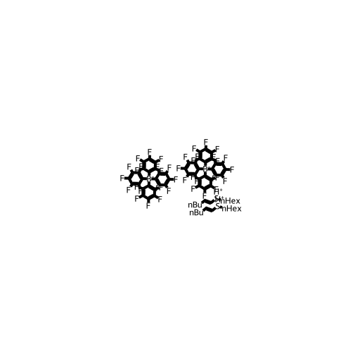 CCCCC=C[SH+]CCCCCC.CCCCC=C[SH+]CCCCCC.Fc1c(F)c(F)c([B-](c2c(F)c(F)c(F)c(F)c2F)(c2c(F)c(F)c(F)c(F)c2F)c2c(F)c(F)c(F)c(F)c2F)c(F)c1F.Fc1c(F)c(F)c([B-](c2c(F)c(F)c(F)c(F)c2F)(c2c(F)c(F)c(F)c(F)c2F)c2c(F)c(F)c(F)c(F)c2F)c(F)c1F